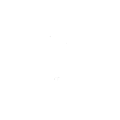 FC(F)(F)c1ccc[c]c1I